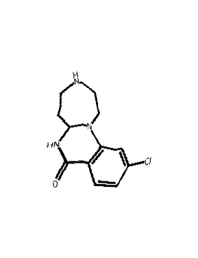 O=C1NC2CCNCCN2c2cc(Cl)ccc21